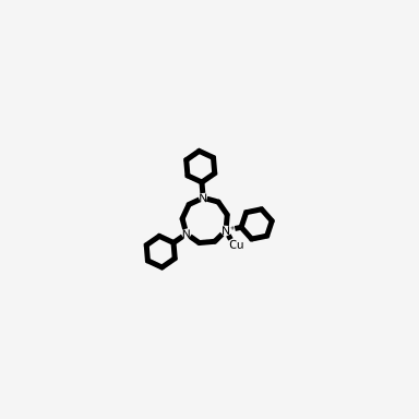 [Cu][N+]1(C2CCCCC2)CCN(C2CCCCC2)CCN(C2CCCCC2)CC1